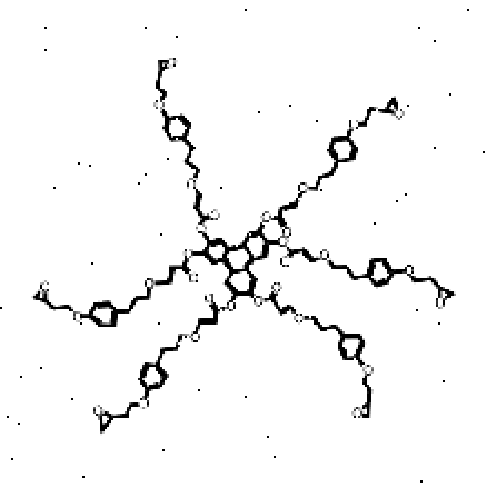 O=C(/C=C/OCCCc1ccc(OCCC2CO2)cc1)Oc1cc2c3cc(OC(=O)/C=C/OCCCc4ccc(OCCC5CO5)cc4)c(OC(=O)/C=C/OCCCc4ccc(OCCC5CO5)cc4)cc3c3cc(OC(=O)/C=C/OCCCc4ccc(OCCC5CO5)cc4)c(OC(=O)/C=C/OCCCc4ccc(OCCC5CO5)cc4)cc3c2cc1OC(=O)/C=C/OCCCc1ccc(OCCC2CO2)cc1